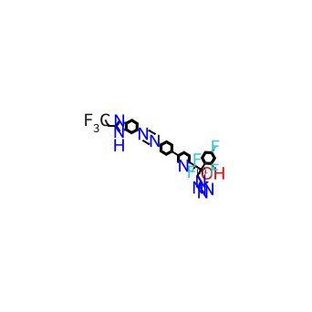 O[C@@](Cn1cnnn1)(c1ccc(F)cc1F)C(F)(F)c1ccc(-c2ccc(N3CCN(c4ccc5nc(CC(F)(F)F)[nH]c5c4)CC3)cc2)cn1